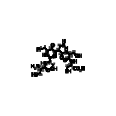 CC(C)C[C@H](NC(=O)[C@H](CO)NC(=O)[C@@H](N)CS)C(=O)N[C@@H](CS)C(=O)N[C@@H](CO)C(=O)N[C@@H](CS)C(=O)O